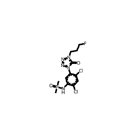 CP(C)(=O)Nc1cc(-n2nnn(CCCF)c2=O)c(Cl)cc1Cl